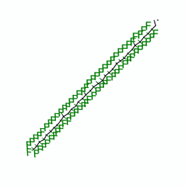 [CH2]CC(F)(F)C(F)(F)C(F)(F)C(F)(F)C(F)(F)C(F)(F)C(F)(F)C(F)(F)C(F)(F)C(F)(F)C(F)(F)C(F)(F)C(F)(F)C(F)(F)C(F)(F)C(F)(F)C(F)(F)C(F)(F)C(F)(F)C(F)(F)C(F)(F)C(F)(F)C(F)(F)C(F)(F)C(F)(F)C(F)(F)C(F)(F)C(F)(F)C(F)(F)C(F)(F)C(F)(F)C(F)(F)C(F)(F)F